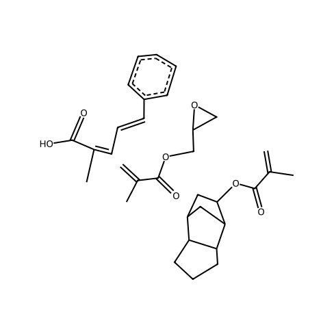 C=C(C)C(=O)OC1CC2CC1C1CCCC21.C=C(C)C(=O)OCC1CO1.CC(=CC=Cc1ccccc1)C(=O)O